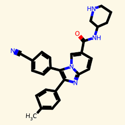 Cc1ccc(-c2nc3ccc(C(=O)NC4CCCNC4)cn3c2-c2ccc(C#N)cc2)cc1